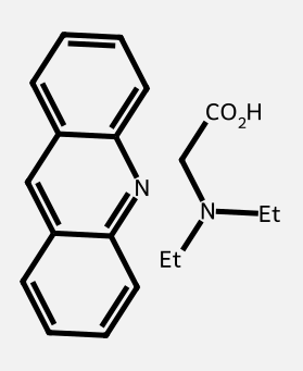 CCN(CC)CC(=O)O.c1ccc2nc3ccccc3cc2c1